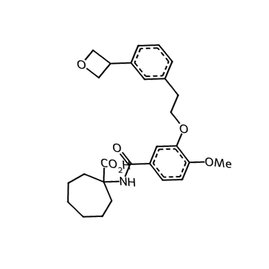 COc1ccc(C(=O)NC2(C(=O)O)CCCCCC2)cc1OCCc1cccc(C2COC2)c1